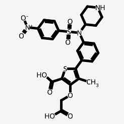 Cc1c(-c2cccc(N(C3CCNCC3)S(=O)(=O)c3ccc([N+](=O)[O-])cc3)c2)sc(C(=O)O)c1OCC(=O)O